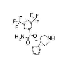 NC(=O)C(OCC1(c2ccccc2)CCNCC1)c1cc(C(F)(F)F)cc(C(F)(F)F)c1